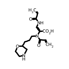 C=CC(=O)NC=C(C(=O)O)N(CCCC1CNCCO1)C(=O)C=C